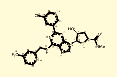 CNC(=O)[C@@H]1C[C@@H](O)[C@H](n2cnc3c(NCc4cc(C(F)(F)F)ccn4)nc(-c4cncc(Cl)c4)nc32)O1